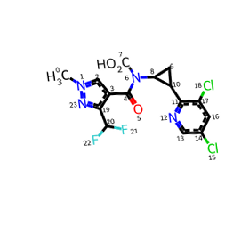 Cn1cc(C(=O)N(C(=O)O)C2CC2c2ncc(Cl)cc2Cl)c(C(F)F)n1